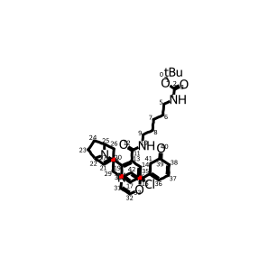 CC(C)(C)OC(=O)NCCCCCNC(=O)c1cc(Cl)ccc1C1=CC2CCC(C1)N2CCN1C=COC(C2=CC=CC(=O)C2)=C1